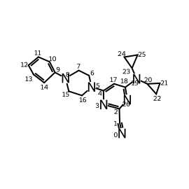 N#Cc1nc(N2CCN(c3ccccc3)CC2)cc(N(C2CC2)C2CC2)n1